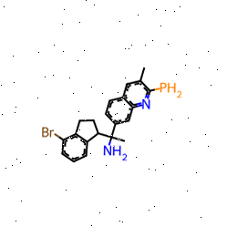 Cc1cc2ccc(C(C)(N)C3CCc4c(Br)cccc43)cc2nc1P